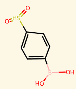 O=[SH](=O)c1ccc(B(O)O)cc1